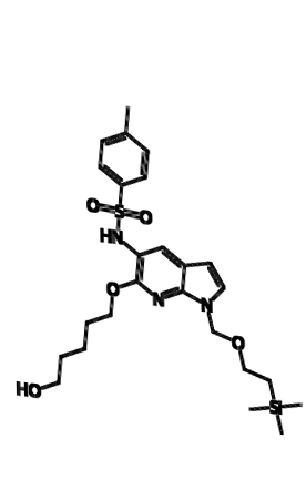 Cc1ccc(S(=O)(=O)Nc2cc3ccn(COCC[Si](C)(C)C)c3nc2OCCCCCO)cc1